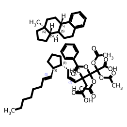 CCCCCC/C=C/[C@H]1CCC[C@@H]1C/C=C\C(C)(CC(=O)O)C(OC(C)=O)(OC(=O)c1ccccc1)C(OC(C)=O)(OC(C)=O)C(=O)O.C[C@@]12CCC[C@H]1[C@@H]1CCc3ccccc3[C@H]1CC2